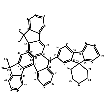 CC1(C)c2ccccc2-c2cc(N(c3ccc4c(c3)C3(CCCCC3)c3ccccc3-4)c3ccccc3-c3cccc4c3-c3ccccc3C4(C)C)ccc21